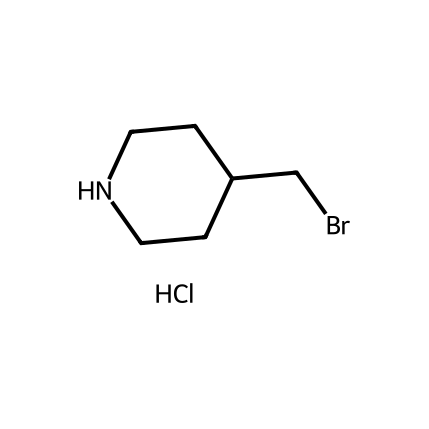 BrCC1CCNCC1.Cl